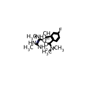 CN/C(N)=C(\NC)O[C@H](C)c1cc(F)ccc1C(=O)N(C)C